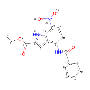 CCOC(=O)c1cc2c(NC(=O)c3ccccc3)ccc([N+](=O)[O-])c2[nH]1